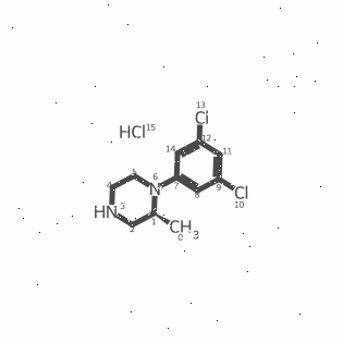 C[C@H]1CNCCN1c1cc(Cl)cc(Cl)c1.Cl